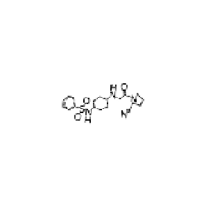 N#CC1CCCN1C(=O)CNC1CCC(NS(=O)(=O)c2ccccc2)CC1